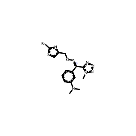 CN(C)c1cccc(/C(=N\OCc2csc(Br)n2)c2nnnn2C)c1